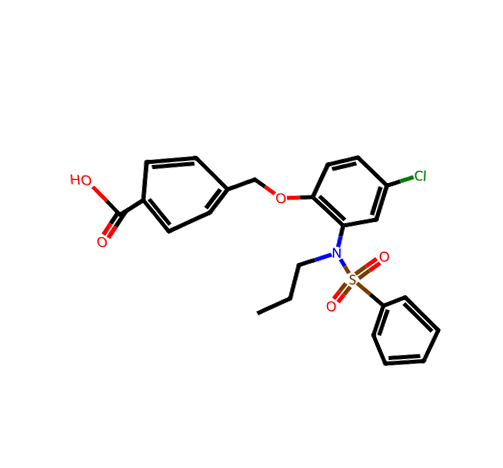 CCCN(c1cc(Cl)ccc1OCc1ccc(C(=O)O)cc1)S(=O)(=O)c1ccccc1